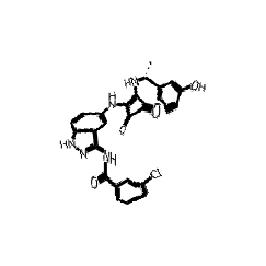 C[C@@H](Nc1c(Nc2ccc3[nH]nc(NC(=O)c4cccc(Cl)c4)c3c2)c(=O)c1=O)c1cccc(O)c1